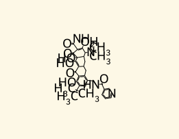 CN(C)C1C(O)=C(C(N)=O)C(=O)C2(O)C(O)=C3C(=O)c4c(O)c(C(C)(C)C)cc(CNC(=O)c5cccnc5)c4CC3CC12